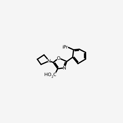 CC(C)c1ccccc1-c1nc(C(=O)O)c(N2CCC2)o1